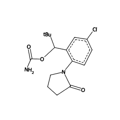 CC(C)(C)C(OC(N)=O)c1cc(Cl)ccc1N1CCCC1=O